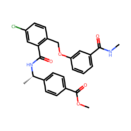 CNC(=O)c1cccc(OCc2ccc(Cl)cc2C(=O)N[C@@H](C)c2ccc(C(=O)OC)cc2)c1